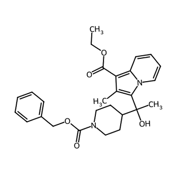 CCOC(=O)c1c(C)c(C(C)(O)C2CCN(C(=O)OCc3ccccc3)CC2)n2ccccc12